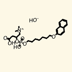 C[N+](C)(C)CC(CC(=O)O)OP(=O)(O)OCCCCCCCOc1ccc2ccccc2c1.[OH-]